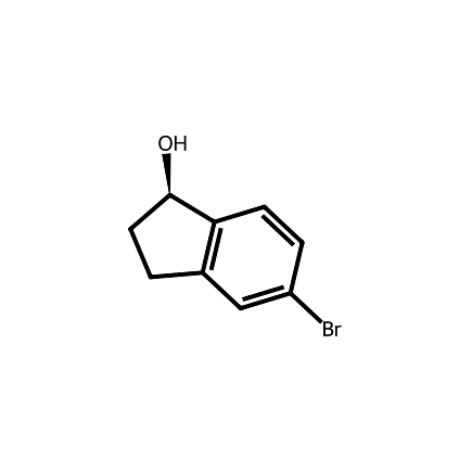 O[C@@H]1CCc2cc(Br)ccc21